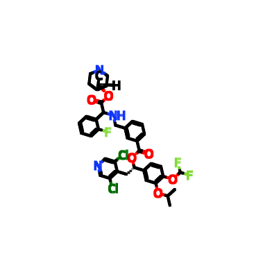 CC(C)Oc1cc([C@H](Cc2c(Cl)cncc2Cl)OC(=O)c2cccc(CNC(C(=O)O[C@H]3CN4CCC3CC4)c3ccccc3F)c2)ccc1OC(F)F